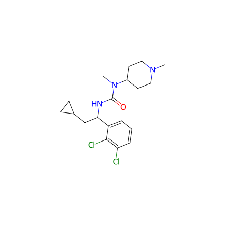 CN1CCC(N(C)C(=O)NC(CC2CC2)c2cccc(Cl)c2Cl)CC1